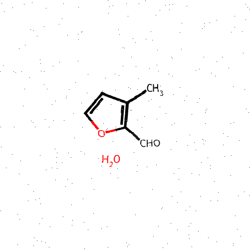 Cc1ccoc1C=O.O